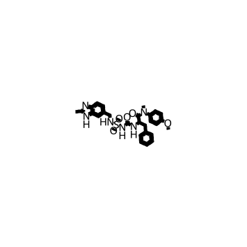 COc1ccc(N(C)C(=O)C(Cc2ccccc2)NC(=O)NS(=O)(=O)NCc2ccc3nc(C)[nH]c3c2)cc1